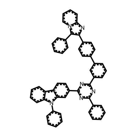 c1ccc(-c2nc(-c3cccc(-c4ccc(-c5nc6ccccn6c5-c5ccccc5)cc4)c3)nc(-c3ccc4c5ccccc5n(-c5ccccc5)c4c3)n2)cc1